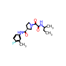 CCC(C)NC(=O)C(=O)N1CC[C@H](C(=O)Nc2ccc(F)c(C)c2)C1